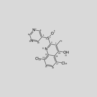 Cc1c([S+]([O-])c2cncnc2)nc2c(Cl)ccc(Cl)c2c1O